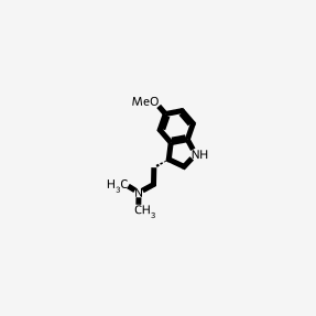 COc1ccc2c(c1)[C@@H](CCN(C)C)CN2